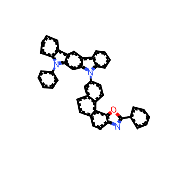 c1ccc(-c2nc3ccc4ccc5cc(-n6c7ccccc7c7cc8c9ccccc9n(-c9ccccc9)c8cc76)ccc5c4c3o2)cc1